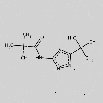 CC(C)(C)C(=O)Nc1nnc(C(C)(C)C)s1